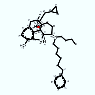 CCCCN(CCCCCCc1ccccc1)[C@H]1CC[C@@]2(O)[C@H]3Cc4ccc(O)c5c4[C@@]2(CCN3CC2CC2)[C@H]1O5